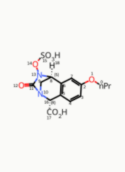 CCCOc1ccc2c(c1)[C@H]1CN(C(=O)N1OS(=O)(=O)O)[C@H]2C(=O)O